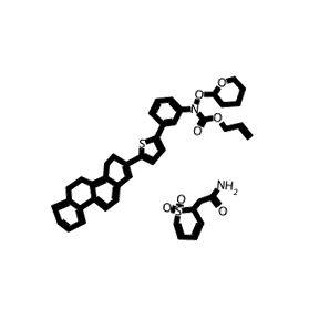 C=CCOC(=O)N(OC1CCCCO1)c1cccc(-c2ccc(C3=Cc4ccc5c(c4CC3)CCc3ccccc3-5)s2)c1.NC(=O)CC1C=CC=CS1(=O)=O